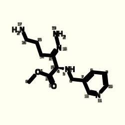 COC(=O)[C@@H](NCc1cccnc1)C(CCCN)=NN